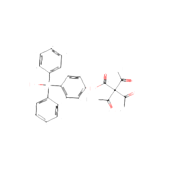 CC(=O)C(C(C)=O)(C(C)=O)C(=O)O.O[Si](c1ccccc1)(c1ccccc1)c1ccccc1